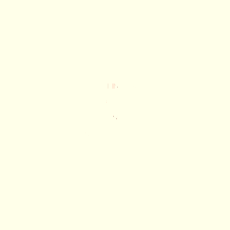 O=c1ccn(-c2cccs2)c(=O)[nH]1